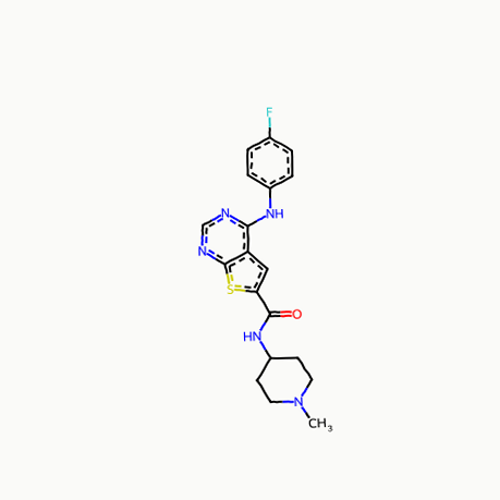 CN1CCC(NC(=O)c2cc3c(Nc4ccc(F)cc4)ncnc3s2)CC1